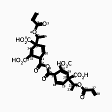 C=CC(=O)OC(C)C1(C(=O)O)C=CC(C(=O)OC(=O)C2C=CC(C(=O)O)(C(C)OC(=O)C=C)C=C2C(=O)O)C(C(=O)O)=C1